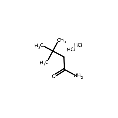 CC(C)(C)CC(N)=O.Cl.Cl